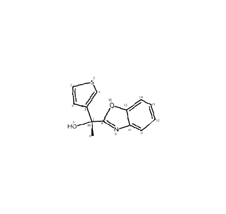 C[C@@](O)(c1ccsc1)c1nc2ccccc2o1